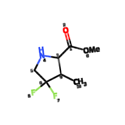 COC(=O)C1NCC(F)(F)C1C